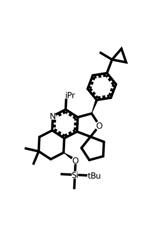 CC(C)c1nc2c(c3c1[C@@H](c1ccc(C4(C)CC4)cc1)OC31CCCC1)[C@@H](O[Si](C)(C)C(C)(C)C)CC(C)(C)C2